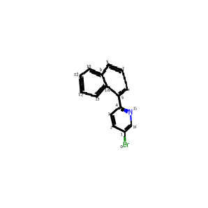 Brc1ccc(-c2cccc3ccccc23)nc1